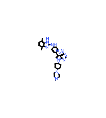 Cc1ccc(C)c2[nH]c(Nc3ccc(-c4cn([C@H]5CC[C@H](N6CCN(C)CC6)CC5)c5ncnc(N)c45)cc3)nc12